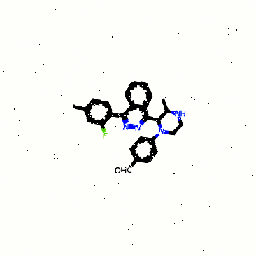 Cc1ccc(-c2nnc(C3C(C)NCCN3c3ccc(C=O)cc3)c3ccccc23)c(F)c1